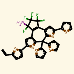 C=Cc1ccc(-c2cc3c(s2)C(c2cccs2)(c2cccs2)c2sc(-c4cccs4)cc2C2=C3C(F)(P)C(F)(F)C2(F)F)s1